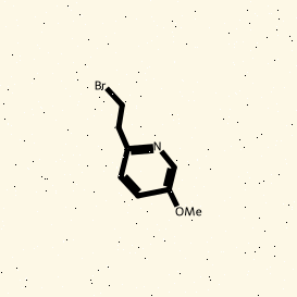 COc1ccc([CH]CBr)nc1